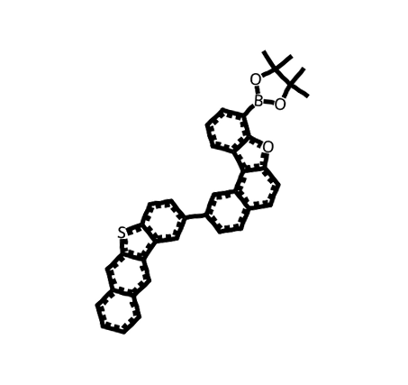 CC1(C)OB(c2cccc3c2oc2ccc4ccc(-c5ccc6sc7cc8ccccc8cc7c6c5)cc4c23)OC1(C)C